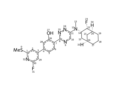 CSc1cc(-c2ccc(-c3ncc(N(C)[C@H]4C[C@@H]5CCC[C@@H](C5)[C@H]4F)nn3)c(O)c2)cc(F)n1